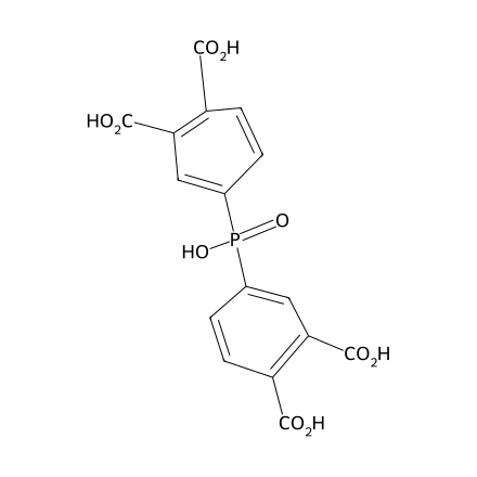 O=C(O)c1ccc(P(=O)(O)c2ccc(C(=O)O)c(C(=O)O)c2)cc1C(=O)O